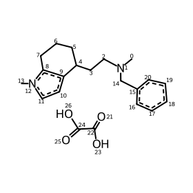 CN(CCC1CCCc2c1ccn2C)Cc1ccccc1.O=C(O)C(=O)O